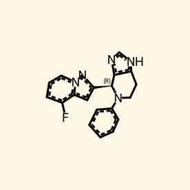 Fc1cccn2nc([C@H]3c4nc[nH]c4CCN3c3ccccc3)cc12